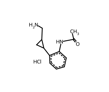 CC(=O)Nc1ccccc1C1CC1CN.Cl